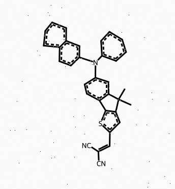 CC1(C)c2cc(N(c3ccccc3)c3ccc4ccccc4c3)ccc2-c2sc(C=C(C#N)C#N)cc21